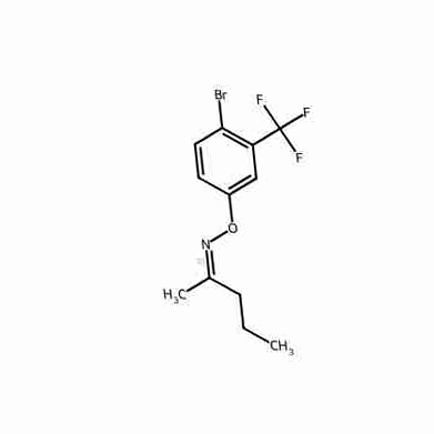 CCC/C(C)=N\Oc1ccc(Br)c(C(F)(F)F)c1